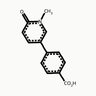 Cn1cc(-c2ccc(C(=O)O)cc2)ccc1=O